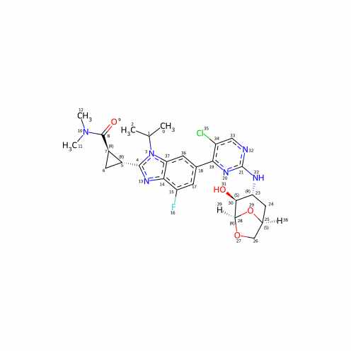 CC(C)n1c([C@@H]2C[C@H]2C(=O)N(C)C)nc2c(F)cc(-c3nc(N[C@@H]4C[C@H]5CO[C@H](O5)[C@H]4O)ncc3Cl)cc21